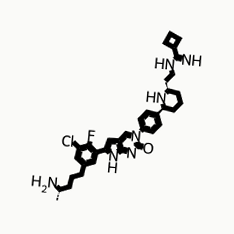 C[C@H](N)CCCc1cc(Cl)c(F)c(-c2cc3cn(-c4ccc([C@@H]5CCC[C@@H](CCNC(=N)C6CCC6)N5)cc4)c(=O)nc3[nH]2)c1